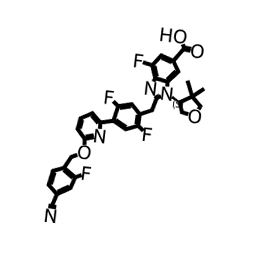 CC1(C)COC[C@H]1n1c(Cc2cc(F)c(-c3cccc(OCc4ccc(C#N)cc4F)n3)cc2F)nc2c(F)cc(C(=O)O)cc21